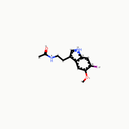 COc1cc2c(CCNC(C)=O)c[nH]c2cc1I